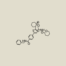 O=C(C[C@]1(c2ccc(-c3ccc(C(=O)NCc4ccccc4)cc3)s2)CCCCS1(=O)=O)NOC1CCCCO1